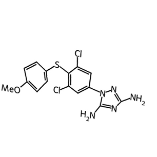 COc1ccc(Sc2c(Cl)cc(-n3nc(N)nc3N)cc2Cl)cc1